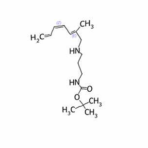 C=C/C=C\C=C(/C)CNCCCNC(=O)OC(C)(C)C